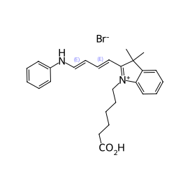 CC1(C)C(/C=C/C=C/Nc2ccccc2)=[N+](CCCCCC(=O)O)c2ccccc21.[Br-]